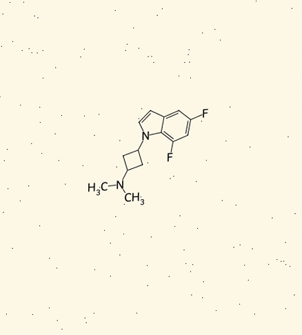 CN(C)C1CC(n2ccc3cc(F)cc(F)c32)C1